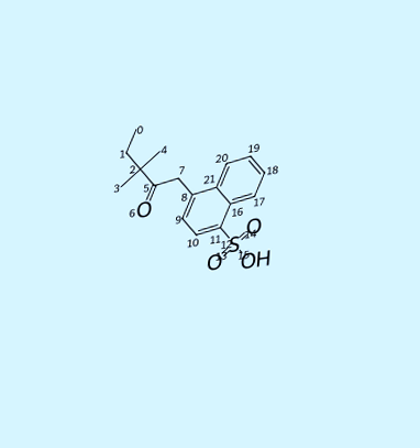 CCC(C)(C)C(=O)Cc1ccc(S(=O)(=O)O)c2ccccc12